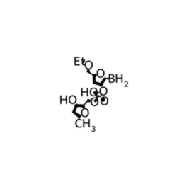 B[C@@H]1O[C@H](COCC)CC1OP(=O)(O)OC[C@H]1O[C@@H](C)CC1O